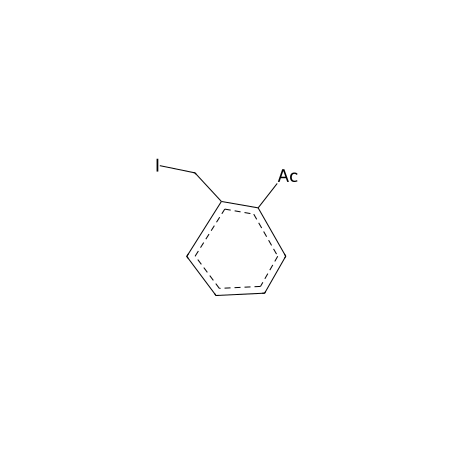 CC(=O)c1ccccc1CI